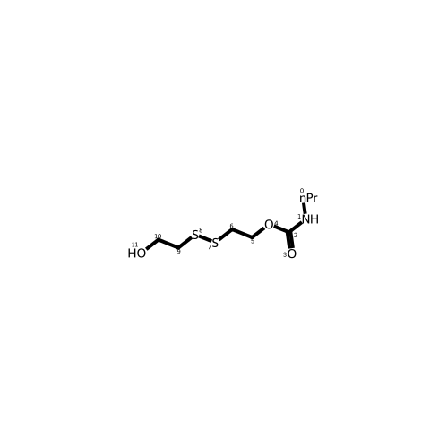 CCCNC(=O)OCCSSCCO